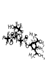 CC(C)c1cc(OS(=O)C(F)(F)OS(=O)(=NS(=O)(=O)C(F)(F)F)C(F)(F)C(O)(F)F)cc(C(C)C)c1N